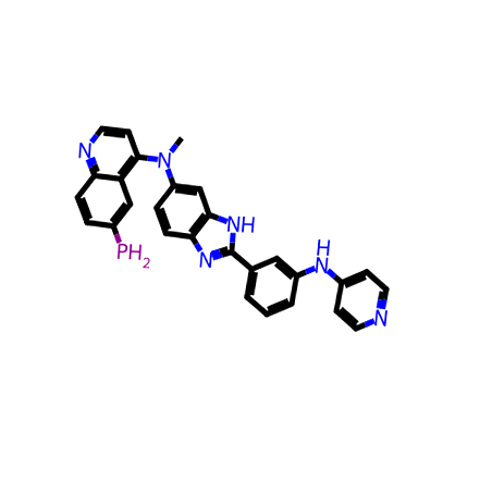 CN(c1ccc2nc(-c3cccc(Nc4ccncc4)c3)[nH]c2c1)c1ccnc2ccc(P)cc12